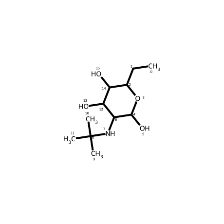 CCC1OC(O)C(NC(C)(C)C)C(O)C1O